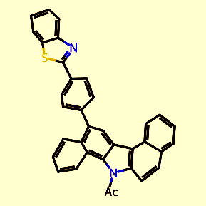 CC(=O)n1c2ccc3ccccc3c2c2cc(-c3ccc(-c4nc5ccccc5s4)cc3)c3ccccc3c21